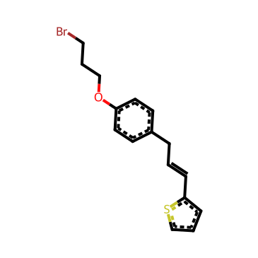 BrCCCOc1ccc(C/C=C/c2cccs2)cc1